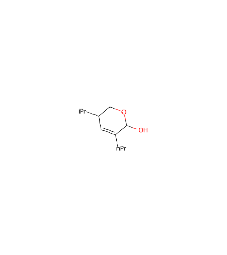 CCCC1=CC(C(C)C)COC1O